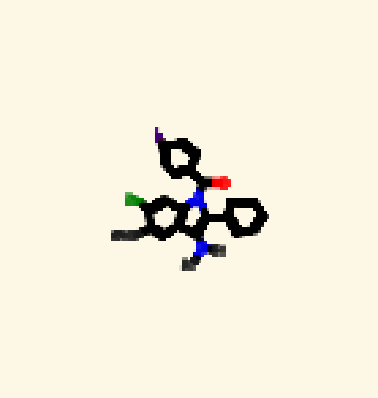 CCN(C(C)=O)c1c(-c2ccccc2)n(C(=O)c2ccc(I)cc2)c2cc(Br)c(OC)cc12